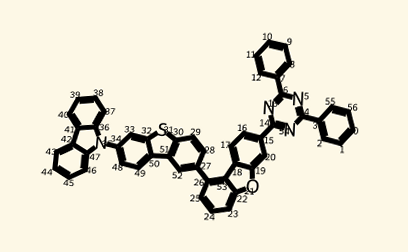 c1ccc(-c2nc(-c3ccccc3)nc(-c3ccc4c(c3)oc3cccc(-c5ccc6sc7cc(-n8c9ccccc9c9ccccc98)ccc7c6c5)c34)n2)cc1